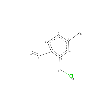 C=Cc1ccc(C)cc1CCl